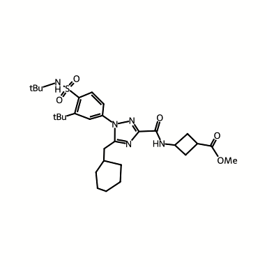 COC(=O)C1CC(NC(=O)c2nc(CC3CCCCC3)n(-c3ccc(S(=O)(=O)NC(C)(C)C)c(C(C)(C)C)c3)n2)C1